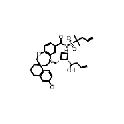 C=CCC(O)[C@@H]1CC[C@H]1CN1C[C@@]2(CCCc3cc(Cl)ccc32)COc2ccc(C(=O)NS(=O)(=O)C(C)(C)CC=C)cc21